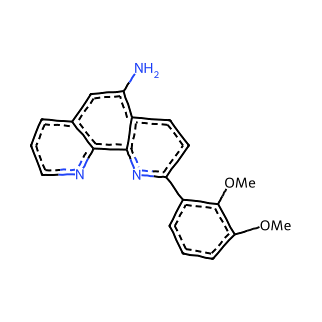 COc1cccc(-c2ccc3c(N)cc4cccnc4c3n2)c1OC